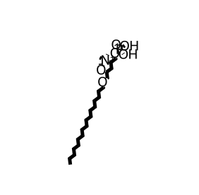 CCCCCCCCCCCCCCCCCOCC(CC(COP(=O)(O)O)[N+](C)(C)C)OC